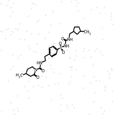 CC1CCN(C(=O)NCCc2ccc(S(=O)(=O)NC(=O)NCC3CCC(C)C3)cc2)C(=O)C1